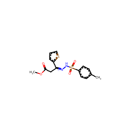 COC(=O)C/C(=N/NS(=O)(=O)c1ccc(C)cc1)c1cccs1